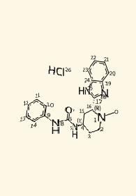 CN1CC[C@@H](NC(=O)Nc2ccccc2)C[C@@H]1c1nc2ccccc2[nH]1.Cl